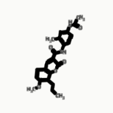 CCCc1c(OC)ccc2cc(C(=O)Nc3ccc(NC(C)=O)cc3C)c(=O)oc12